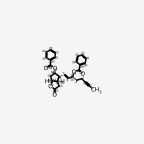 CC#CCC[C@@H](C=C[C@@H]1[C@H]2CC(=O)O[C@H]2C[C@H]1OC(=O)c1ccccc1)OC(=O)c1ccccc1